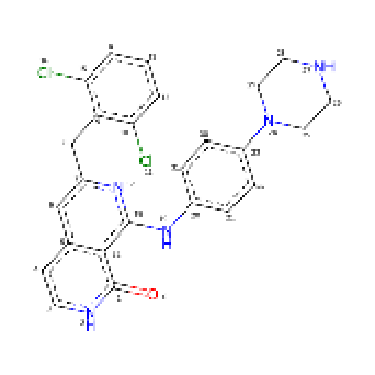 O=c1[nH]ccc2cc(Cc3c(Cl)cccc3Cl)nc(Nc3ccc(N4CCNCC4)cc3)c12